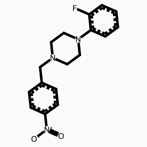 O=[N+]([O-])c1ccc(CN2CCN(c3ccccc3F)CC2)cc1